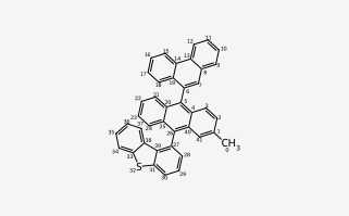 Cc1ccc2c(-c3cc4ccccc4c4ccccc34)c3ccccc3c(-c3cccc4sc5ccccc5c34)c2c1